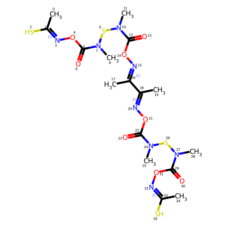 C/C(S)=N\OC(=O)N(C)SN(C)C(=O)O/N=C(C)/C(C)=N/OC(=O)N(C)SN(C)C(=O)O/N=C(\C)S